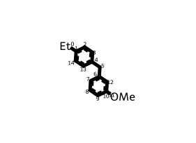 CCc1ccc(Cc2cccc(OC)c2)cc1